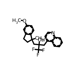 COc1ccc2c(c1)CCC2(C)CC(O)(Cc1ccnc2ccccc12)C(F)(F)F